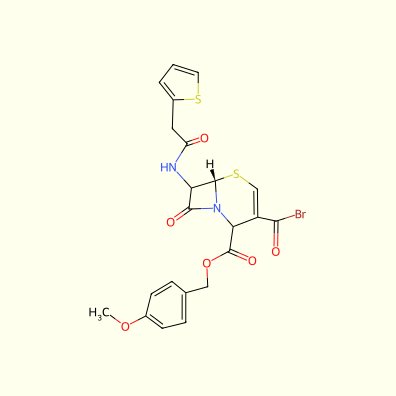 COc1ccc(COC(=O)C2C(C(=O)Br)=CS[C@H]3C(NC(=O)Cc4cccs4)C(=O)N23)cc1